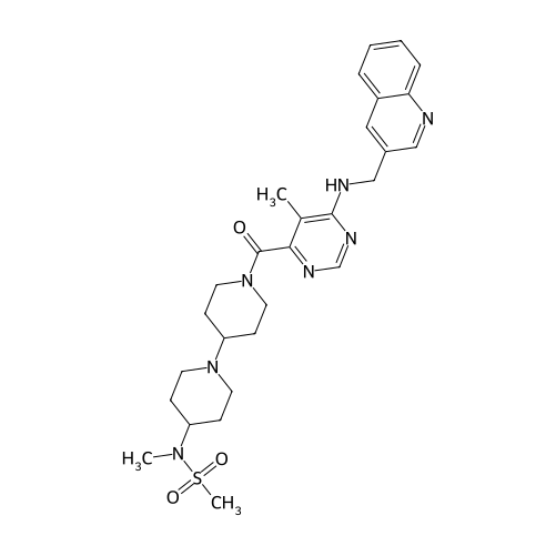 Cc1c(NCc2cnc3ccccc3c2)ncnc1C(=O)N1CCC(N2CCC(N(C)S(C)(=O)=O)CC2)CC1